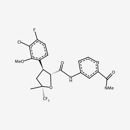 CNC(=O)c1cc(NC(=O)[C@@H]2O[C@](C)(C(F)(F)F)C[C@H]2c2ccc(F)c(Cl)c2OC)ccn1